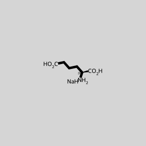 N[C@@H](CCCC(=O)O)C(=O)O.[NaH]